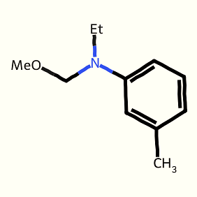 CCN(COC)c1cccc(C)c1